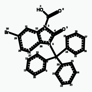 O=C(O)n1c(=O)n(C(c2ccccc2)(c2ccccc2)c2ccccc2)c2ncc(Br)cc21